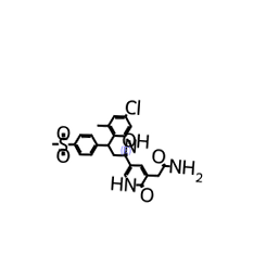 Cc1cc(Cl)ccc1C(C/C(=N\O)c1c[nH]c(=O)c(CC(N)=O)c1)c1ccc(S(C)(=O)=O)cc1